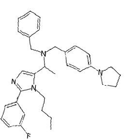 CCCCn1c(C(C)N(Cc2ccccc2)Cc2ccc(N3CCCC3)cc2)cnc1-c1cccc(F)c1